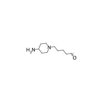 NC1CCN(CCCC[C]=O)CC1